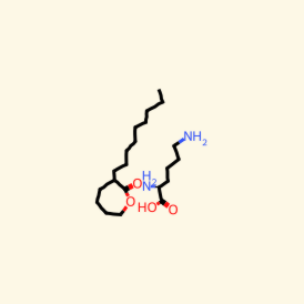 CCCCCCCCCC1CCCCOC1=O.NCCCC[C@H](N)C(=O)O